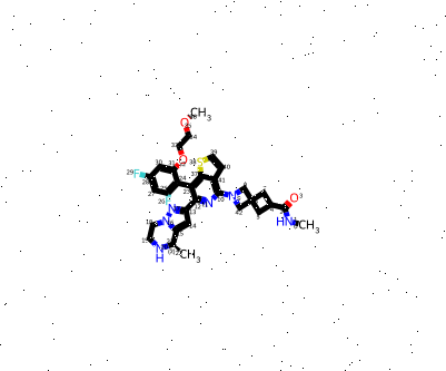 CNC(=O)C1CC2(C1)CN(c1nc(-c3cc4n(n3)CCN[C@@H]4C)c(-c3c(F)cc(F)cc3OCCOC)c3sccc13)C2